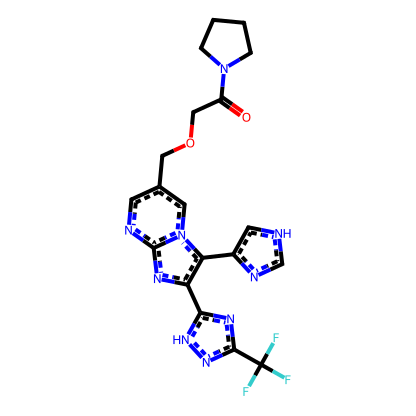 O=C(COCc1cnc2nc(-c3nc(C(F)(F)F)n[nH]3)c(-c3c[nH]cn3)n2c1)N1CCCC1